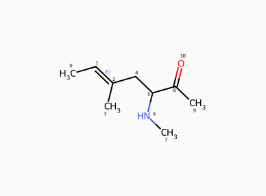 C/C=C(\C)CC(NC)C(C)=O